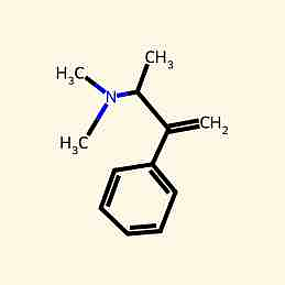 C=C(c1ccccc1)C(C)N(C)C